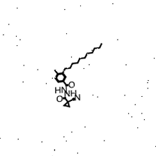 CCCCCCCCCCCc1cc(C(=O)NNC(=O)C2(C#N)CC2)ccc1C